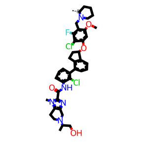 COc1cc(OC2CCc3c(-c4cccc(NC(=O)c5nc6c(n5C)CCN(C(C)CO)C6)c4Cl)cccc32)c(Cl)c(F)c1CN1CCCC[C@H]1C